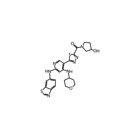 O=C(c1nnc(-c2cnc(Nc3ccc4ncsc4c3)cc2NC2CCOCC2)s1)N1CCC(O)C1